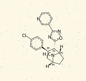 CN1[C@@H]2CC[C@H]1[C@@H](c1nc(-c3cccnc3)no1)[C@H](c1ccc(Cl)cc1)C2